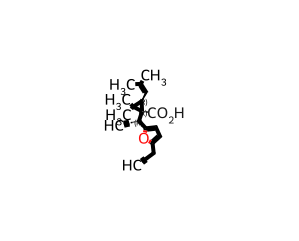 C#CCc1ccc([C@H](C#C)[C@]2(C(=O)O)[C@H](C=C(C)C)C2(C)C)o1